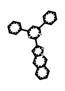 c1ccc(-c2cc(-c3ccccc3)nc(-c3cc4cc5ccccc5cn4n3)n2)cc1